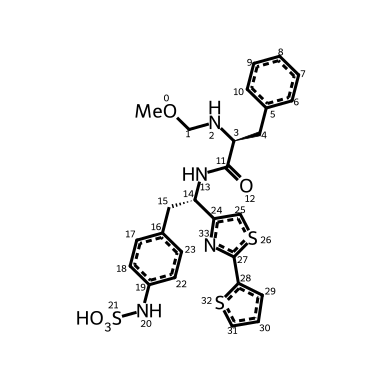 COCN[C@@H](Cc1ccccc1)C(=O)N[C@@H](Cc1ccc(NS(=O)(=O)O)cc1)c1csc(-c2cccs2)n1